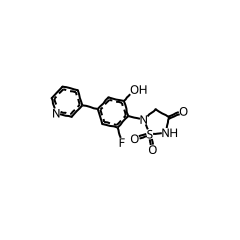 O=C1CN(c2c(O)cc(-c3cccnc3)cc2F)S(=O)(=O)N1